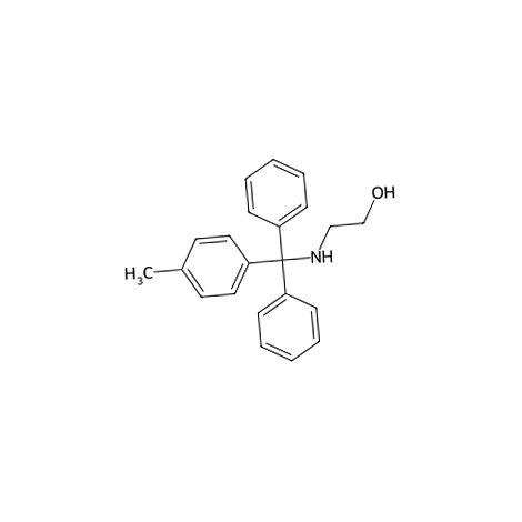 Cc1ccc(C(NCCO)(c2ccccc2)c2ccccc2)cc1